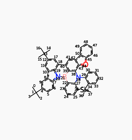 CC(C)(C)c1ccc2c(c1)c1cc(C(C)(C)C)cc3c1n2B1c2cccc4c2N(c2ccccc2[Si]4(C)C)c2c1c-3cc1c2oc2ccccc21